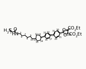 C=CC(=O)NCCCCCCC1CCC(c2ccc(-c3ccc(C4O[C@@H](C(=O)OCC)[C@H](C(=O)OCC)O4)cc3)cc2)CC1